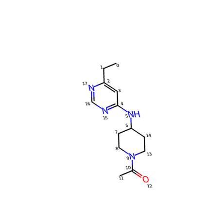 CCc1cc(NC2CCN(C(C)=O)CC2)ncn1